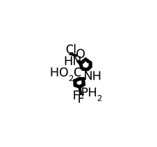 O=C(CCl)Nc1cccc(Nc2cccc(C(F)(F)P)c2)c1C(=O)O